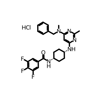 Cc1nc(N[C@H]2CC[C@@H](NC(=O)c3cc(F)c(F)c(F)c3)CC2)cc(N(C)Cc2ccccc2)n1.Cl